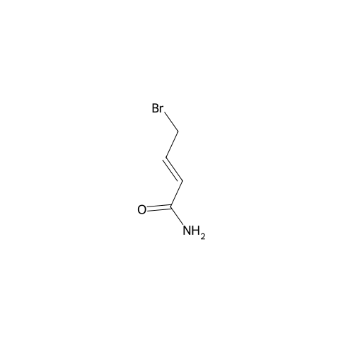 NC(=O)C=CCBr